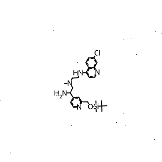 CN(CCNc1ccnc2cc(Cl)ccc12)CC(N)c1ccnc(CO[Si](C)(C)C(C)(C)C)c1